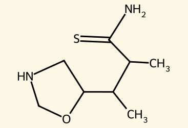 CC(C(N)=S)C(C)C1CNCO1